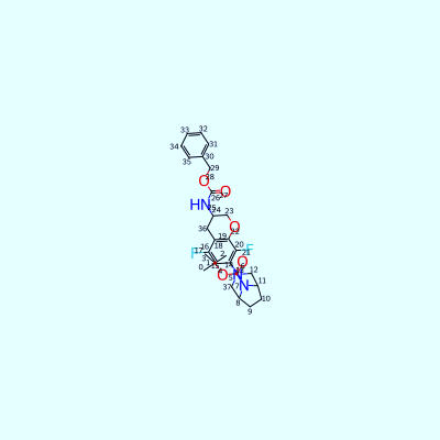 CC(C)(C)OC(=O)N1C2CCC1CN(c1cc(F)c3c(c1F)OCC(NC(=O)OCc1ccccc1)C3)C2